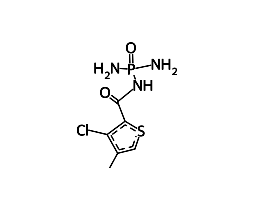 Cc1csc(C(=O)NP(N)(N)=O)c1Cl